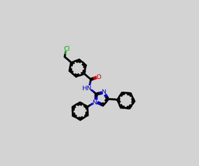 O=C(Nc1nc(-c2ccccc2)cn1-c1ccccc1)c1ccc(CCl)cc1